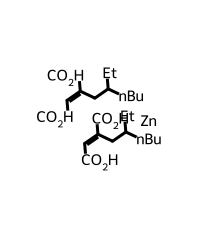 CCCCC(CC)C/C(=C\C(=O)O)C(=O)O.CCCCC(CC)C/C(=C\C(=O)O)C(=O)O.[Zn]